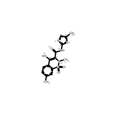 Cc1ccc2c(c1)S(=O)(=O)N(C)C(C(=O)Nc1ncc(C)s1)=C2O